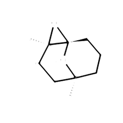 C1C[C@H]2CC[C@H]3O[C@]3(C1)O2